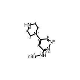 CCCCNc1cc(N2CCNCC2)cnn1